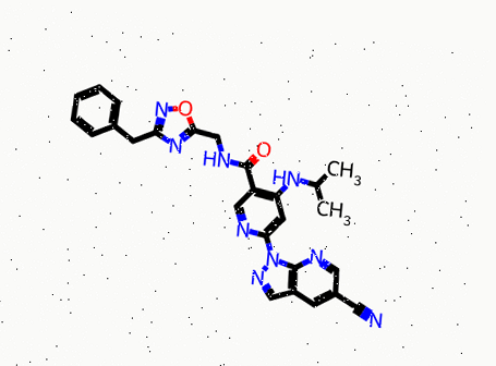 CC(C)Nc1cc(-n2ncc3cc(C#N)cnc32)ncc1C(=O)NCc1nc(Cc2ccccc2)no1